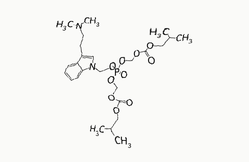 CC(C)COC(=O)OCOP(=O)(OCOC(=O)OCC(C)C)OCn1cc(CCN(C)C)c2ccccc21